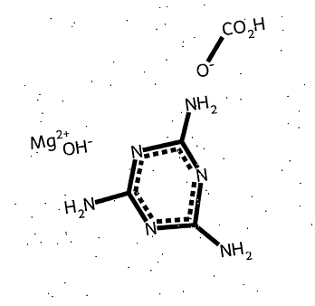 Nc1nc(N)nc(N)n1.O=C([O-])O.[Mg+2].[OH-]